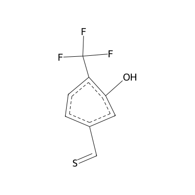 Oc1cc(C=S)ccc1C(F)(F)F